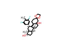 Cc1c(F)cc([C@H]2C[C@]3(C)[C@@H](O)CC[C@H]3[C@@H]3CC[C@@]4(O)CC5(CCC4=C32)OCCO5)cc1F